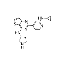 c1cc(-c2nc(N[C@@H]3CCNC3)c3sccc3n2)cc(NC2CC2)n1